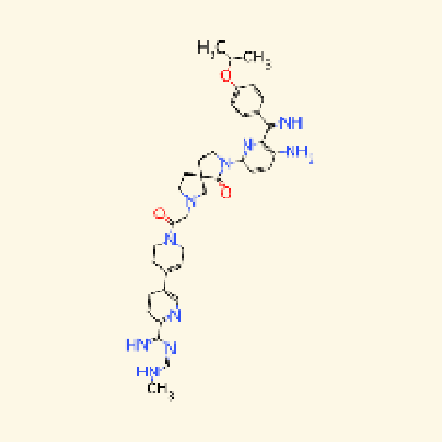 CN/C=N\C(=N)c1ccc(C2=CCN(C(=O)CN3CC[C@]4(CCN(c5ccc(N)c(C(=N)c6ccc(OC(C)C)cc6)n5)C4=O)C3)CC2)cn1